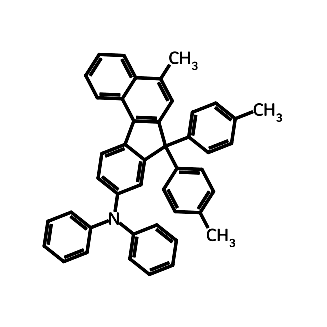 Cc1ccc(C2(c3ccc(C)cc3)c3cc(N(c4ccccc4)c4ccccc4)ccc3-c3c2cc(C)c2ccccc32)cc1